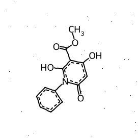 COC(=O)c1c(O)cc(=O)n(-c2ccccc2)c1O